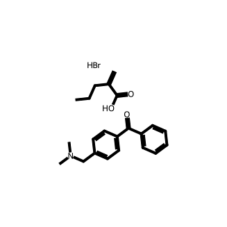 Br.C=C(CCC)C(=O)O.CN(C)Cc1ccc(C(=O)c2ccccc2)cc1